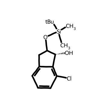 CC(C)(C)[Si](C)(C)OC1Cc2cccc(Cl)c2[C@H]1O